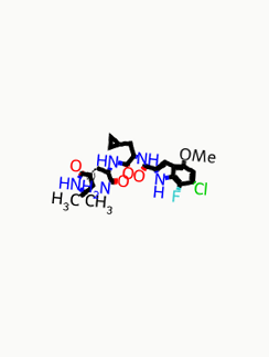 COc1cc(Cl)c(F)c2[nH]c(C(=O)NC(CC3CC3)C(=O)NC(C[C@@H]3CC(C)(C)NC3=O)C(N)=O)cc12